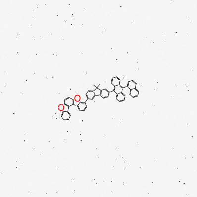 CC1(C)c2ccc(-c3cccc4c3oc3ccc5oc6ccccc6c5c34)cc2-c2ccc(-c3c4ccccc4c(-c4cccc5ccccc45)c4ccccc34)cc21